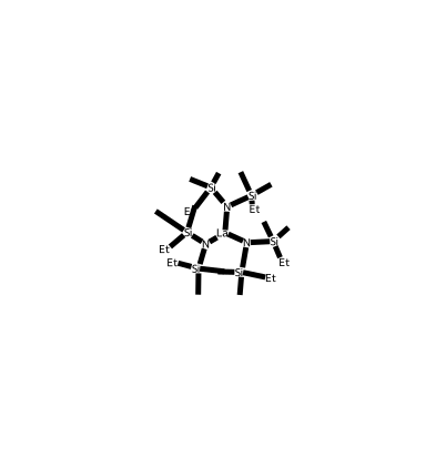 CC[Si](C)(C)[N]([La]([N]([Si](C)(C)CC)[Si](C)(C)CC)[N]([Si](C)(C)CC)[Si](C)(C)CC)[Si](C)(C)CC